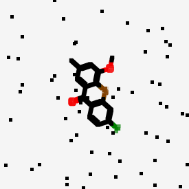 COc1cc(C)cc2c(=O)c3ccc(F)cc3sc12